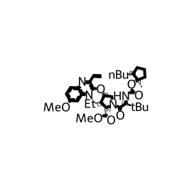 C=Cc1nc2ccc(OC)cc2nc1O[C@H]1CN(C(=O)[C@@H](NC(=O)O[C@]2(C)CCC[C@H]2CCCC)C(C)(C)C)[C@H](C(=O)OC)[C@@H]1CC